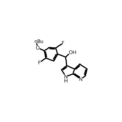 CCCCOc1cc(F)c(C(O)c2c[nH]c3ncccc23)cc1F